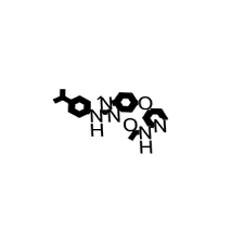 CC(=O)Nc1cc(Oc2ccc3c(c2)nc(Nc2ccc(C(C)C)cc2)n3C)ccn1